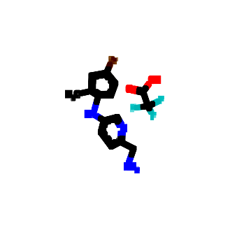 Cc1cc(Br)ccc1Nc1ccc(CN)nc1.O=C(O)C(F)(F)F